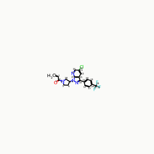 C=CC(=O)N1CCC(n2nc(-c3ccc(C(F)(F)F)cc3)c3cc(Cl)cnc32)C1